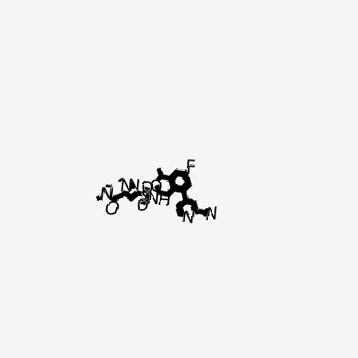 CC(C)c1cc(F)cc(-c2ccnc(C#N)c2)c1CC(=O)NS(=O)(=O)c1cc(C(=O)N(C)C)n(C)n1